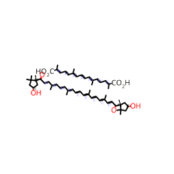 CC(/C=C/C=C(C)/C=C/C(=O)[C@]1(C)C[C@@H](O)CC1(C)C)=C\C=C\C=C(C)\C=C\C=C(C)\C=C\C(=O)[C@]1(C)C[C@@H](O)CC1(C)C.CC(/C=C/C=C(\C)C(=O)O)=C\C=C\C=C(C)\C=C\C=C(/C)C(=O)O